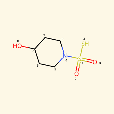 O=S(=O)(S)N1CCC(O)CC1